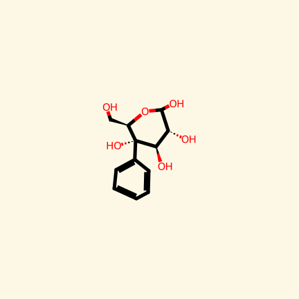 OC[C@H]1OC(O)[C@H](O)[C@@H](O)[C@@]1(O)c1ccccc1